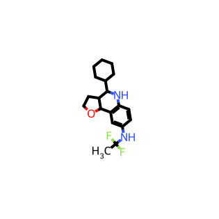 CC(F)(F)Nc1ccc2c(c1)C1OCCC1C(C1CCCCC1)N2